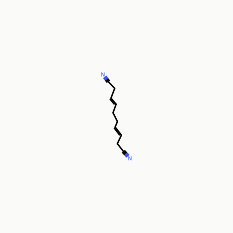 N#CCC=CCCC=CCC#N